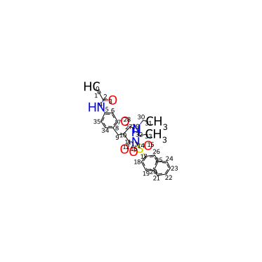 C#CC(=O)Nc1ccc(CC(C(=O)NS(=O)(=O)c2ccc3ccccc3c2)C(=O)N(CC)CC)cc1